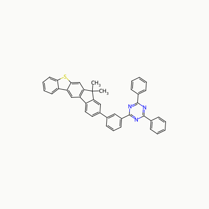 CC1(C)c2cc(-c3cccc(-c4nc(-c5ccccc5)nc(-c5ccccc5)n4)c3)ccc2-c2cc3c(cc21)sc1ccccc13